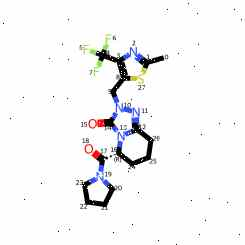 Cc1nc(C(F)(F)F)c(Cn2nc3n(c2=O)[C@@H](C(=O)N2CCCC2)CCC3)s1